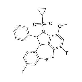 COc1cc(F)c(F)c2c1N(S(=O)(=O)C1CC1)C(c1ccccc1)N2c1ccc(I)cc1F